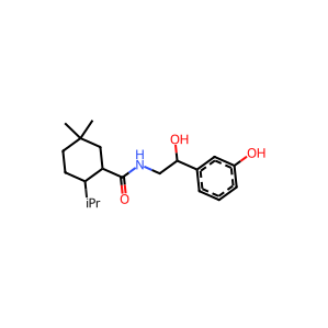 CC(C)C1CCC(C)(C)CC1C(=O)NCC(O)c1cccc(O)c1